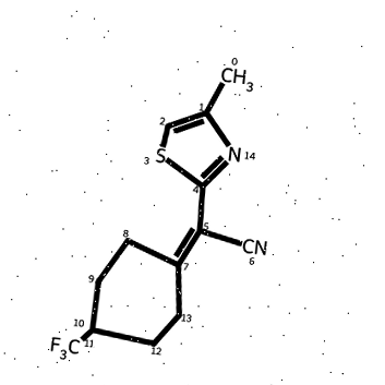 Cc1csc(C(C#N)=C2CCC(C(F)(F)F)CC2)n1